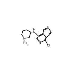 CN1CCCC(Nc2nnc(Cl)c3ccncc23)C1